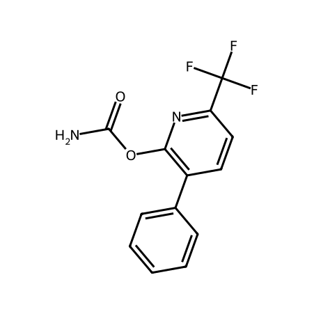 NC(=O)Oc1nc(C(F)(F)F)ccc1-c1ccccc1